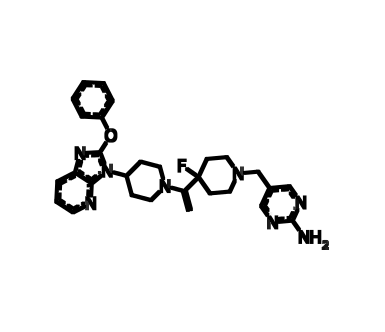 C=C(N1CCC(n2c(Oc3ccccc3)nc3cccnc32)CC1)C1(F)CCN(Cc2cnc(N)nc2)CC1